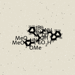 COc1cc(OC)c(OC)cc1CN[C@@H](C(=O)O)[C@H](O)[C@H](Cc1ccccc1)NC(=O)[C@@H](NC(=O)Cc1cccc2ccccc12)C(C)(C)C